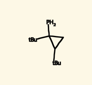 CC(C)(C)C1CC1(P)C(C)(C)C